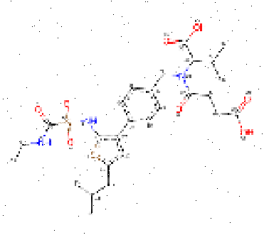 CCNC(=O)S(=O)(=O)Nc1sc(CC(C)C)cc1-c1ccc(CN(C(=O)CCC(=O)O)C(C(=O)O)C(C)C)cc1